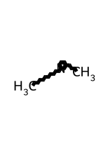 CCCCCCCCCCC[n+]1cccc(CCCC)c1